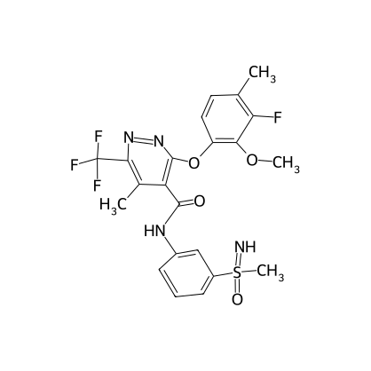 COc1c(Oc2nnc(C(F)(F)F)c(C)c2C(=O)Nc2cccc(S(C)(=N)=O)c2)ccc(C)c1F